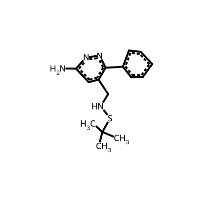 CC(C)(C)SNCc1cc(N)nnc1-c1ccccc1